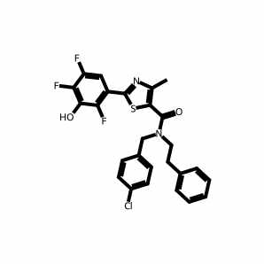 Cc1nc(-c2cc(F)c(F)c(O)c2F)sc1C(=O)N(CCc1ccccc1)Cc1ccc(Cl)cc1